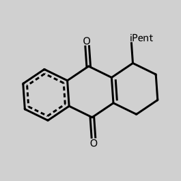 CCCC(C)C1CCCC2=C1C(=O)c1ccccc1C2=O